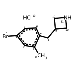 Cc1cc(Br)ccc1CC1CNC1.Cl